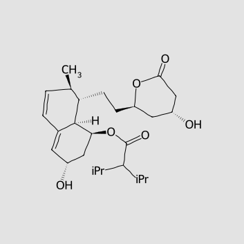 CC(C)C(C(=O)O[C@H]1C[C@H](O)C=C2C=C[C@@H](C)[C@H](CC[C@@H]3C[C@@H](O)CC(=O)O3)[C@H]21)C(C)C